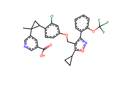 CC1(c2cncc(C(=O)O)c2)CC1c1ccc(OCc2c(-c3ccccc3OC(F)(F)F)noc2C2CC2)cc1Cl